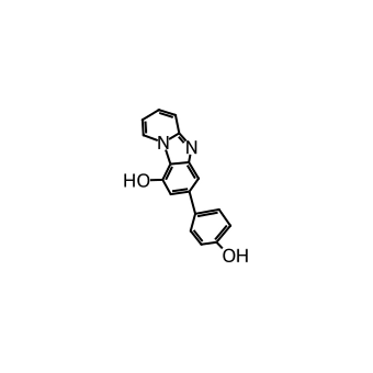 Oc1ccc(-c2cc(O)c3c(c2)nc2ccccn23)cc1